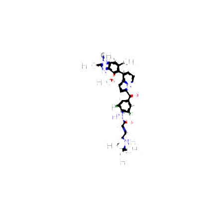 COc1c(-c2cccn3c(C(=O)c4cc(F)c(NC(=O)/C=C/CNC(C)(C)C)c(F)c4)ccc23)c(C)cc2c1nc(C)n2C